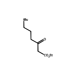 CCOC(=O)CC(=O)CCCC(C)(C)C